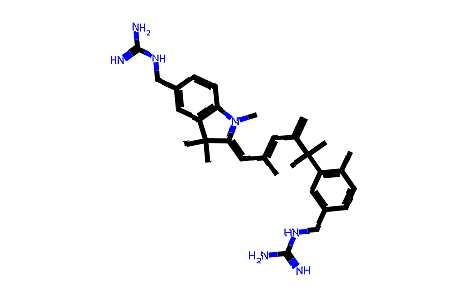 C=C(C=C(C)C=C1N(C)c2ccc(CNC(=N)N)cc2C1(C)C)C(C)(C)c1cc(CNC(=N)N)ccc1C